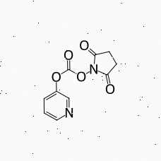 O=C(Oc1cccnc1)ON1C(=O)CCC1=O